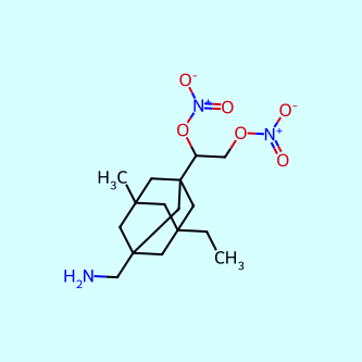 CCC12CC3(C)CC(CN)(C1)CC(C(CO[N+](=O)[O-])O[N+](=O)[O-])(C3)C2